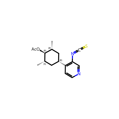 CC(=O)O[C@H]1[C@H](C)C[C@H](c2ccncc2N=C=S)C[C@@H]1C